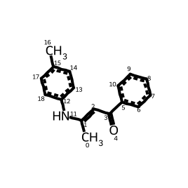 C/C(=C\C(=O)c1ccccc1)Nc1ccc(C)cc1